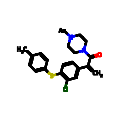 C=C(C(=O)N1CCN(C(C)=O)CC1)c1ccc(Sc2ccc(C)cc2)c(Cl)c1